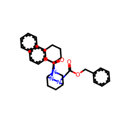 O=C(OCc1ccccc1)N1C2CCC(N(C3CCCc4ccccc43)C2)N1C(=O)OCc1ccccc1